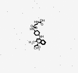 CCC(=O)N1c2ccccc2[C@H](NC2CCC(NS(=O)(=O)CCNC(=O)O)CC2)C[C@@H]1C